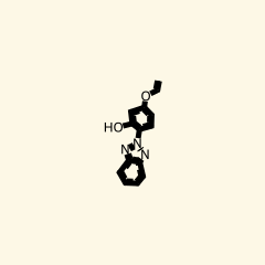 C=COc1ccc(-n2nc3ccccc3n2)c(O)c1